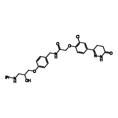 CC(C)NCC(O)COc1ccc(CNC(=O)COc2ccc(C3=NNC(=O)CC3)cc2Cl)cc1